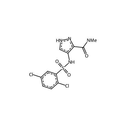 CNC(=O)c1n[nH]cc1NS(=O)(=O)c1cc(Cl)ccc1Cl